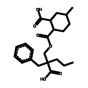 CCCC(COC(=O)C1CCC(C)CC1C(=O)O)(Cc1ccccc1)C(=O)O